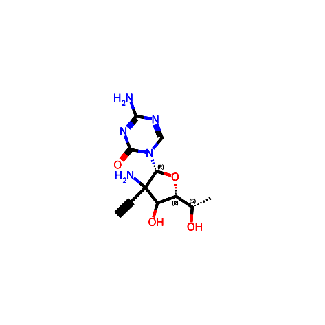 C#CC1(N)C(O)[C@@H]([C@H](C)O)O[C@H]1n1cnc(N)nc1=O